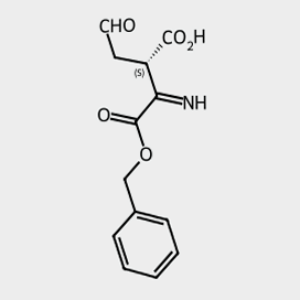 N=C(C(=O)OCc1ccccc1)[C@H](CC=O)C(=O)O